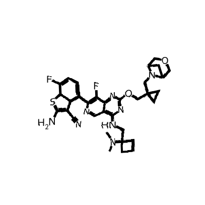 CN(C)C1(CNc2nc(OCC3(CN4C5COCC4C5)CC3)nc3c(F)c(C4=CC=C(F)C5SC(N)=C(C#N)C45)ncc23)CCC1